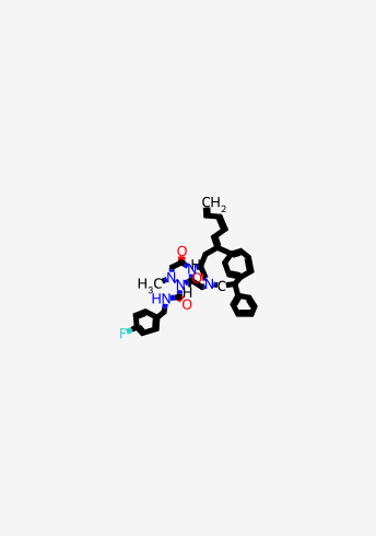 C=C/C=C\C=C1\C[C@H]2C(=O)N(CC(c3ccccc3)C3=CCC1=CC=C3)C[C@H]1N2C(=O)CN(C)N1C(=O)NCc1ccc(F)cc1